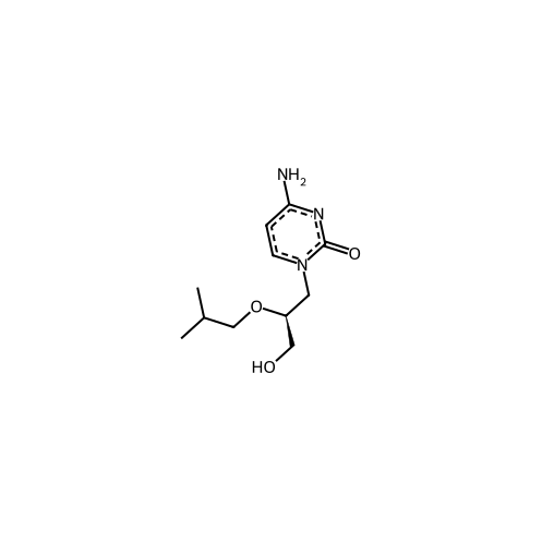 CC(C)CO[C@H](CO)Cn1ccc(N)nc1=O